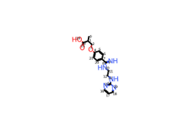 CC(COc1ccc(C(=N)NCCNc2ncccn2)cc1)C(=O)O